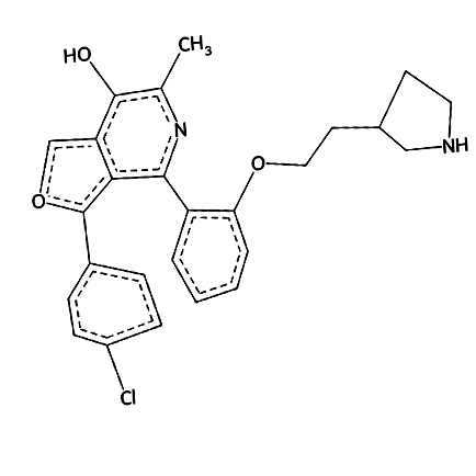 Cc1nc(-c2ccccc2OCCC2CCNC2)c2c(-c3ccc(Cl)cc3)occ2c1O